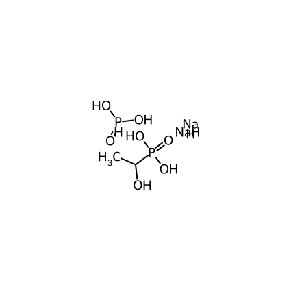 CC(O)P(=O)(O)O.O=[PH](O)O.[NaH].[NaH]